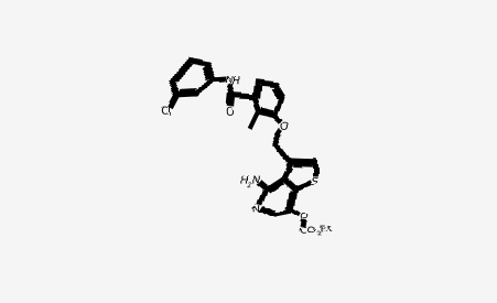 CCOC(=O)Oc1cnc(N)c2c(COc3cccc(C(=O)Nc4cccc(Cl)c4)c3C)csc12